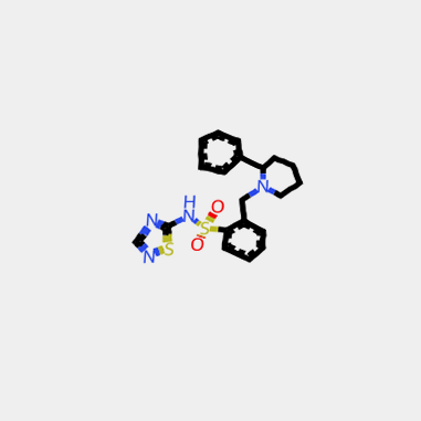 O=S(=O)(Nc1ncns1)c1ccccc1CN1CCCCC1c1ccccc1